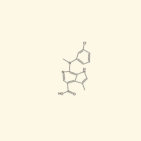 Cc1c[nH]c2c(N(C)c3cccc(Cl)c3)ncc(C(=O)O)c12